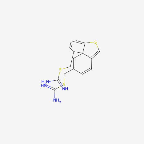 N=C(N)SCC1=CC23C(=CSC2=CC=CC3CSC(=N)N)C=C1